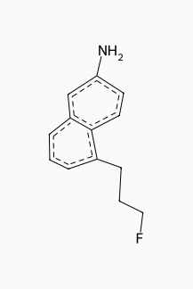 Nc1ccc2c(CCCF)cccc2c1